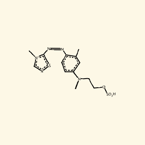 Cc1cc(N(C)CCOS(=O)(=O)O)ccc1/N=N\c1snc[n+]1C